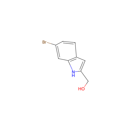 OCc1cc2ccc(Br)cc2[nH]1